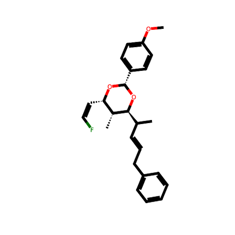 COc1ccc([C@H]2O[C@@H](/C=C\F)[C@@H](C)[C@H](C(C)/C=C/Cc3ccccc3)O2)cc1